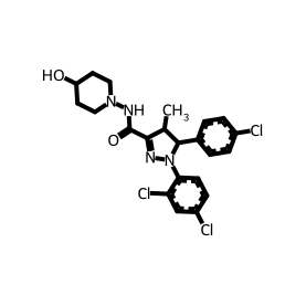 CC1C(C(=O)NN2CCC(O)CC2)=NN(c2ccc(Cl)cc2Cl)C1c1ccc(Cl)cc1